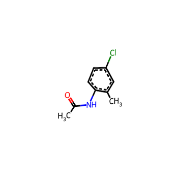 CC(=O)Nc1ccc(Cl)cc1C